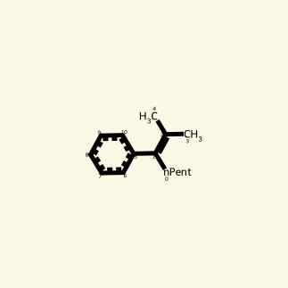 CCCCCC(=C(C)C)c1ccccc1